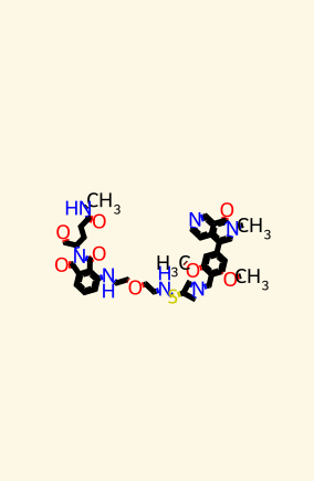 CNC(=O)CCC(C=O)N1C(=O)c2cccc(NCCOCCNSC3CN(Cc4c(OC)cc(-c5cn(C)c(=O)c6cnccc56)cc4OC)C3)c2C1=O